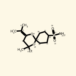 CCC1(C)CC(=C(C)C)OC2(CCC(S(N)(=O)=O)CC2)O1